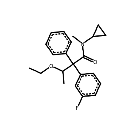 CCOC(C)C(C(=O)N(C)C1CC1)(c1ccccc1)c1cccc(F)c1